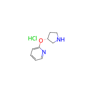 Cl.c1ccc(O[C@@H]2CCNC2)nc1